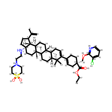 C=C(C)C1CC[C@]2(NCCN3CCS(=O)(=O)CC3)CC[C@]3(C)[C@H](CC[C@@H]4[C@@]5(C)CC=C(C6=CC[C@](COc7ncccc7Cl)(C(=O)OCC)CC6)C(C)(C)[C@@H]5CC[C@]43C)[C@@H]12